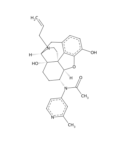 C=CCN1CC[C@]23c4c5ccc(O)c4O[C@H]2[C@H](N(C(C)=O)c2ccnc(C)c2)CC[C@@]3(O)[C@H]1C5